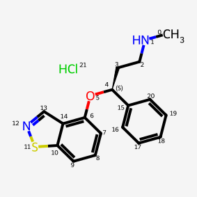 CNCC[C@H](Oc1cccc2sncc12)c1ccccc1.Cl